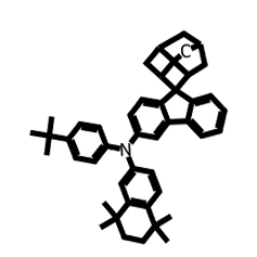 CC(C)(C)c1ccc(N(c2ccc3c(c2)-c2ccccc2C32C3CC4CC5CC2C53C4)c2ccc3c(c2)C(C)(C)CCC3(C)C)cc1